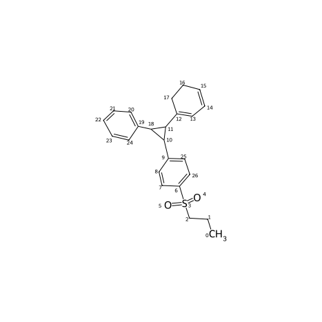 CCCS(=O)(=O)c1ccc(C2C(C3=CC=CCC3)C2c2ccccc2)cc1